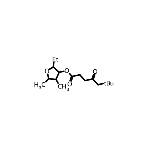 CCC1OC(C)C(C)C1OC(=O)CCC(=O)CC(C)(C)C